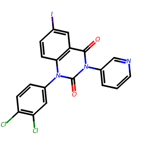 O=c1c2cc(I)ccc2n(-c2ccc(Cl)c(Cl)c2)c(=O)n1-c1cccnc1